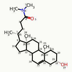 C[C@H](CCC(=O)N(C)C)C1CCC2C3CC=C4C[C@@H](O)CC[C@]4(C)C3CC[C@@]21C